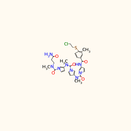 Cc1cc(C(=O)Nc2ccn(C(=O)N(C)c3ccn(C(=O)N(C)c4ccn(C(=O)N(C)CCC(N)=O)c4)c3)c2)ccc1SCCCl